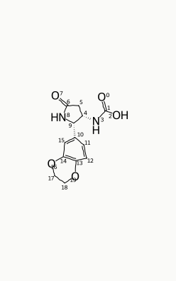 O=C(O)N[C@H]1CC(=O)N[C@H]1c1ccc2c(c1)OCCO2